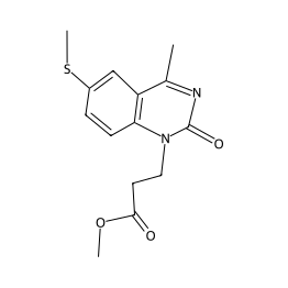 COC(=O)CCn1c(=O)nc(C)c2cc(SC)ccc21